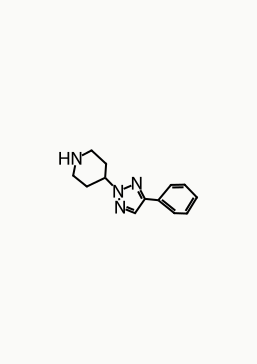 c1ccc(-c2cnn(C3CCNCC3)n2)cc1